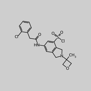 CC1(N2Cc3cc(NC(=O)Cc4ccccc4Cl)cc(S(=O)(=O)Cl)c3C2)COC1